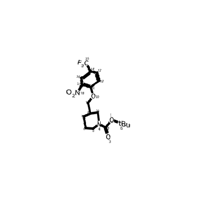 CC(C)(C)OC(=O)N1CCCC(COc2ccc(C(F)(F)F)cc2[N+](=O)[O-])C1